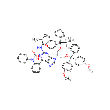 COc1ccc(C(OC[C@@H](CO[Si](c2ccccc2)(c2ccccc2)C(C)(C)C)n2cnc3c(-c4ccccc4N(C(=O)O)c4ccccc4)nc(NC(=O)C(C)C)nc32)(c2ccccc2)c2ccc(OC)cc2)cc1